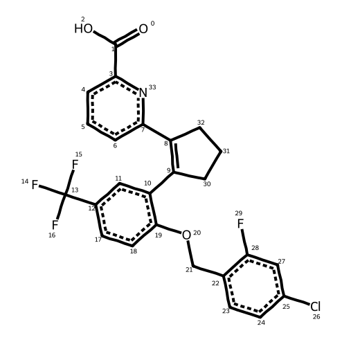 O=C(O)c1cccc(C2=C(c3cc(C(F)(F)F)ccc3OCc3ccc(Cl)cc3F)CCC2)n1